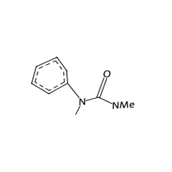 [CH2]NC(=O)N(C)c1ccccc1